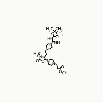 COC(=O)CCN1CCN(C2OC(=O)N(C)C2CCN2CCN(C(=N)NC(=O)OC(C)(C)C)CC2)CC1